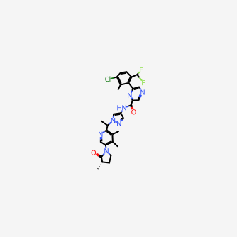 Cc1c(N2CC[C@H](C)C2=O)cnc(C(C)n2cc(NC(=O)c3cncc(-c4c(C(F)F)ccc(Cl)c4C)n3)cn2)c1C